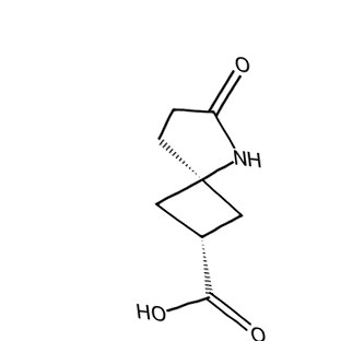 O=C1CC[C@]2(C[C@@H](C(=O)O)C2)N1